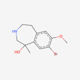 COc1cc2c(cc1Br)C(C)(O)CNCC2